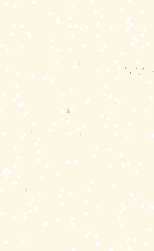 CNCC(=O)C1Cc2ccccc2O1